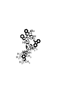 Cc1c(C)c(S(=O)(=O)NC(=N)NCCC[C@H](NC(=O)[C@@H]2CC3CCCCC3N2C(=O)[C@H]2Cc3ccccc3CN2C(=O)[C@H](COC(C)(C)C)NC(=O)OCC2c3ccccc3-c3ccccc32)C(=O)OCC[Si](C)(C)C)c(C)c2c1OC(C)(C)C2